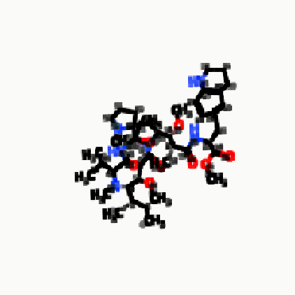 CC[C@H](C)[C@@H]([C@@H](CC(=O)N1CCC[C@H]1[C@H](OC)[C@@H](C)C(=O)N[C@@H](Cc1ccc2c(c1)CCCN2)C(=O)OC)OC)N(C)[C@H](C(=O)NC(=O)[C@@]1(C)CCCN1C)C(C)C